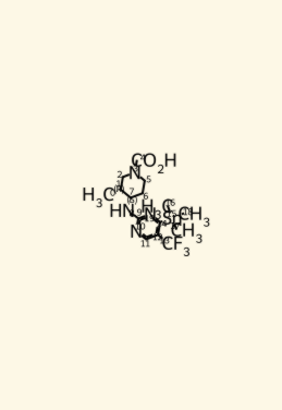 C[C@@H]1CN(C(=O)O)CC[C@@H]1Nc1ncc(C(F)(F)F)[c]([Sn]([CH3])([CH3])[CH3])n1